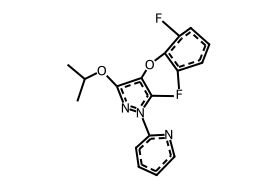 Cc1c(Oc2c(F)cccc2F)c(OC(C)C)nn1-c1ccccn1